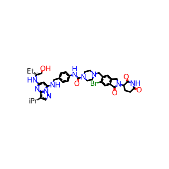 CC[C@@H](CO)Nc1cc(NCc2ccc(NC(=O)N3CCN(Cc4cc5c(cc4Br)C(=O)N(C4CCC(=O)NC4=O)C5)CC3)cc2)n2ncc(C(C)C)c2n1